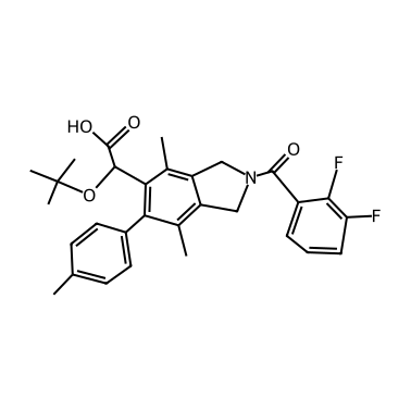 Cc1ccc(-c2c(C)c3c(c(C)c2C(OC(C)(C)C)C(=O)O)CN(C(=O)c2cccc(F)c2F)C3)cc1